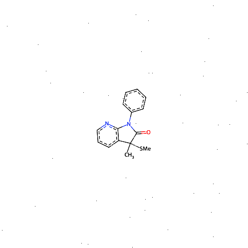 CSC1(C)C(=O)N(c2ccccc2)c2ncccc21